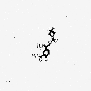 NC(=O)c1cc(C(N)COC(=O)N2CC(F)(F)C2)ccc1Cl